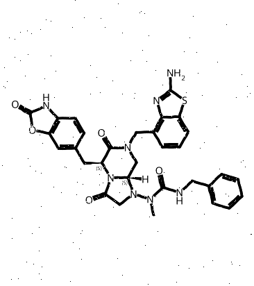 CN(C(=O)NCc1ccccc1)N1CC(=O)N2[C@@H](Cc3ccc4[nH]c(=O)oc4c3)C(=O)N(Cc3cccc4sc(N)nc34)C[C@@H]21